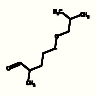 CC(C)CO[CH]CCC(C)C=O